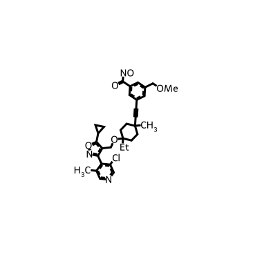 CCC1(OCc2c(-c3c(C)cncc3Cl)noc2C2CC2)CCC(C)(C#Cc2cc(COC)cc(C(=O)N=O)c2)CC1